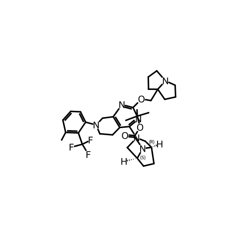 Cc1cccc(N2CCc3c(nc(OCC45CCCN4CCC5)nc3N3C[C@H]4CC[C@@H](C3)N4C(=O)OC(C)(C)C)C2)c1C(F)(F)F